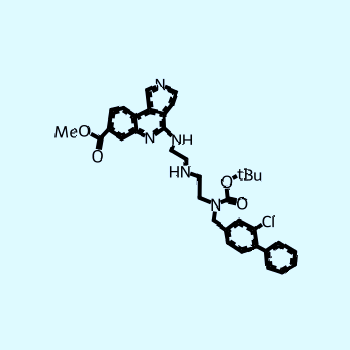 COC(=O)c1ccc2c(c1)nc(NCCNCCN(Cc1ccc(-c3ccccc3)c(Cl)c1)C(=O)OC(C)(C)C)c1ccncc12